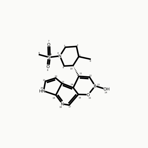 CC1CCN(S(C)(=O)=O)C[C@H]1C1=CB(O)Oc2cnc3[nH]ccc3c21